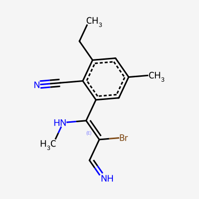 CCc1cc(C)cc(/C(NC)=C(\Br)C=N)c1C#N